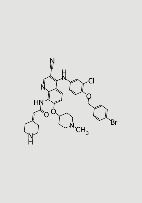 CN1CCC(Oc2ccc3c(Nc4ccc(OCc5ccc(Br)cc5)c(Cl)c4)c(C#N)cnc3c2NC(=O)C=C2CCNCC2)CC1